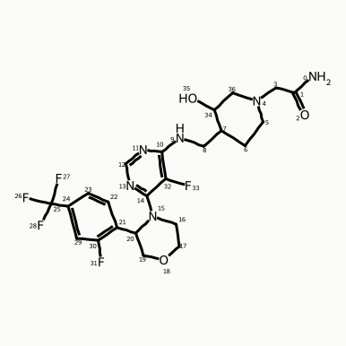 NC(=O)CN1CCC(CNc2ncnc(N3CCOCC3c3ccc(C(F)(F)F)cc3F)c2F)C(O)C1